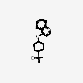 CCC(C)(C)[C@H]1CC[C@@H](Oc2ccnc3ccccc23)CC1